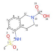 CS(=O)(=O)Nc1cccc2c1CCN(C(=O)O)C2